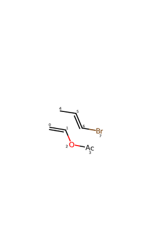 C=COC(C)=O.CC=CBr